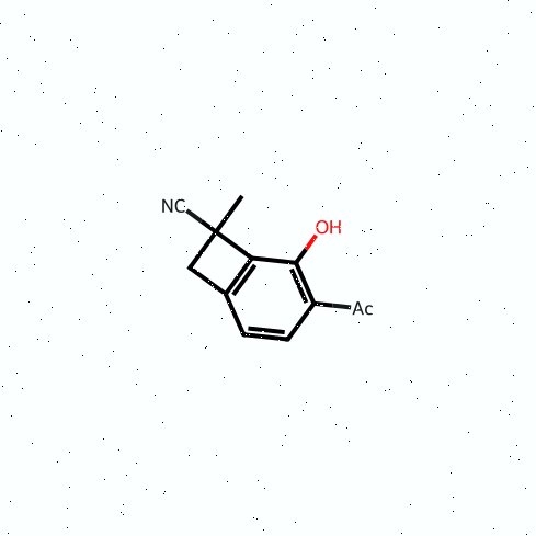 CC(=O)c1ccc2c(c1O)C(C)(C#N)C2